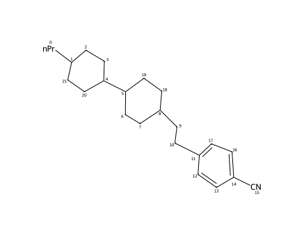 CCCC1CCC(C2CCC(CCc3ccc(C#N)cc3)CC2)CC1